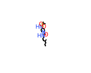 C=C/C=C(C)\C=C/CNC(=O)N1CCC(NS(=O)(=O)C(C)C)CC1